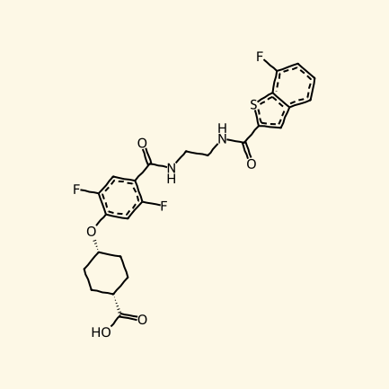 O=C(NCCNC(=O)c1cc(F)c(O[C@H]2CC[C@@H](C(=O)O)CC2)cc1F)c1cc2cccc(F)c2s1